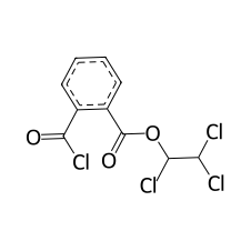 O=C(Cl)c1ccccc1C(=O)OC(Cl)C(Cl)Cl